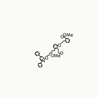 COC(=O)CCc1c(CCCCCCOc2cc(-c3ccccc3)cc(-c3ccccc3)n2)cccc1OCCCc1ccccc1C(=O)OC